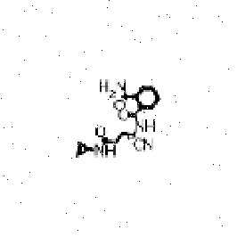 N#C[C@H](CCC(=O)NC1CC1)NC(=O)[C@@H]1CCCC[C@@H]1C(N)=O